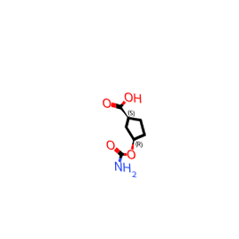 NC(=O)O[C@@H]1CC[C@H](C(=O)O)C1